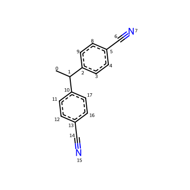 CC(c1ccc(C#N)cc1)c1ccc(C#N)cc1